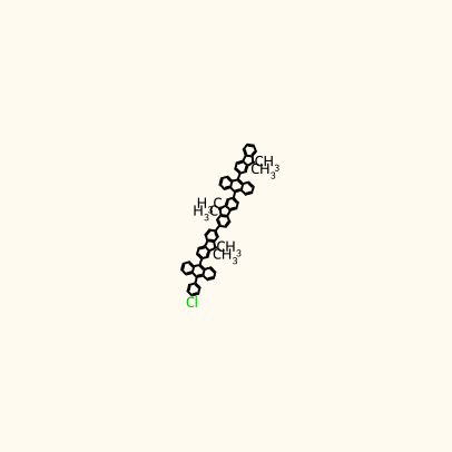 CC1(C)c2ccccc2-c2ccc(-c3c4ccccc4c(-c4ccc5c(c4)C(C)(C)c4cc(-c6ccc7c(c6)C(C)(C)c6cc(-c8c9ccccc9c(-c9ccc(Cl)cc9)c9ccccc89)ccc6-7)ccc4-5)c4ccccc34)cc21